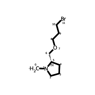 [CH2]N1CCC[C@H]1COCCCBr